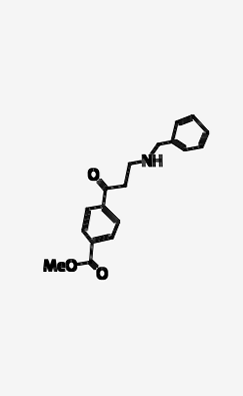 COC(=O)c1ccc(C(=O)CCNCc2ccccc2)cc1